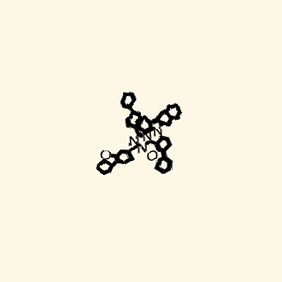 c1ccc(-c2ccc(-c3nc(-c4ccc5c(c4)oc4ccccc45)nc(-c4c(-n5c6ccccc6c6cc7ccccc7cc65)ccc5c4oc4ccccc45)n3)cc2)cc1